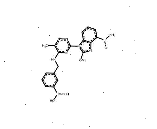 COc1nc2c([S+](N)[O-])cccc2n1-c1nnc(C)c(NCc2cccc(B(O)O)c2)n1